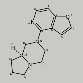 c1cc2occc2c(N2CCN3CCC[C@H]3C2)n1